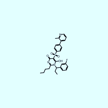 CCCCc1nc(=O)c(S(=O)(=O)c2ccc(-c3cccnc3C)cc2)c(O)n1C(CC)c1cccc(F)c1